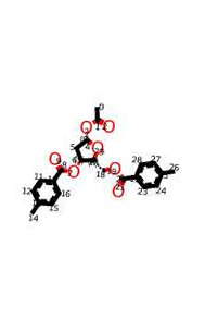 CC(=O)O[C@H]1C[C@H](OC(=O)c2ccc(C)cc2)[C@@H](COC(=O)c2ccc(C)cc2)O1